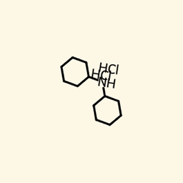 C1CCC(NC2CCCCC2)CC1.Cl.Cl